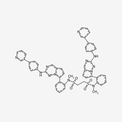 CN(c1ccccc1-c1ccc2cnc(Nc3ccc(-c4cccnc4)cc3)nn12)S(=O)(=O)CCS(=O)(=O)N(C)c1ccccc1-c1ccc2cnc(Nc3ccc(-c4cccnc4)cc3)nn12